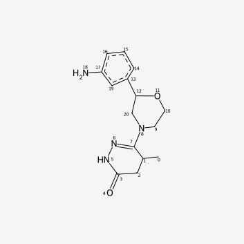 CC1CC(=O)NN=C1N1CCOC(c2cccc(N)c2)C1